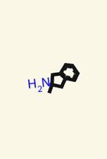 CC1(N)Cc2ccccc2C1